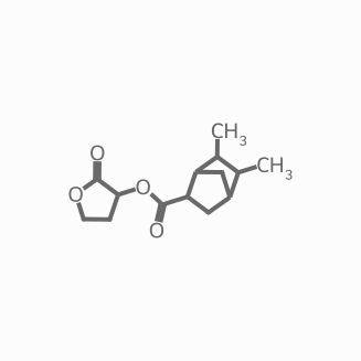 CC1C2CC(C(=O)OC3CCOC3=O)C(C2)C1C